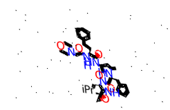 CC(C)C[C@H](NC(=O)[C@H](Cc1ccccc1)N1C(=O)[C@@H](NC(=O)[C@H](CCc2ccccc2)NC(=O)CN2CCOCC2)CC1C)C(=N)[C@@]1(C)CO1